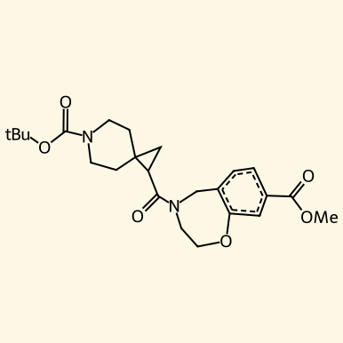 COC(=O)c1ccc2c(c1)OCCN(C(=O)C1CC13CCN(C(=O)OC(C)(C)C)CC3)C2